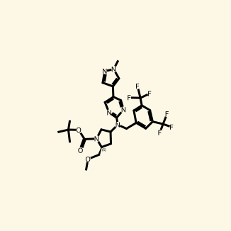 COC[C@@H]1CC(N(Cc2cc(C(F)(F)F)cc(C(F)(F)F)c2)c2ncc(-c3cnn(C)c3)cn2)CN1C(=O)OC(C)(C)C